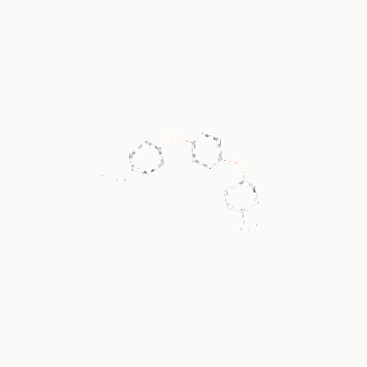 CC(=O)Oc1ccc(Oc2ccc(Oc3ccc(OC(C)=O)cc3)cc2)cc1